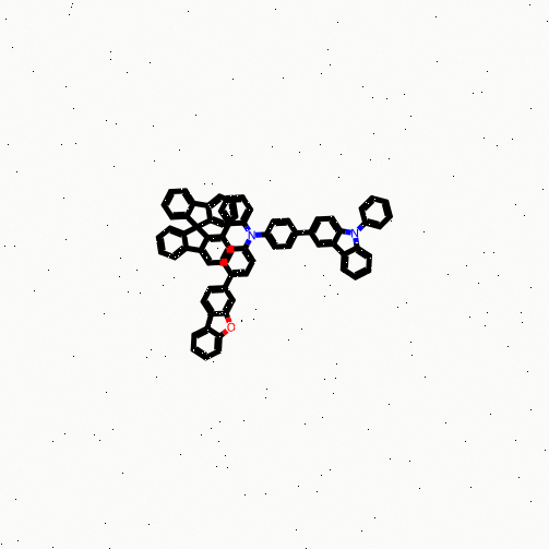 c1ccc(-n2c3ccccc3c3cc(-c4ccc(N(c5ccc(-c6ccc7c(c6)oc6ccccc67)cc5)c5ccccc5-c5cccc6c5C5(c7ccccc7-c7ccccc75)c5ccccc5-6)cc4)ccc32)cc1